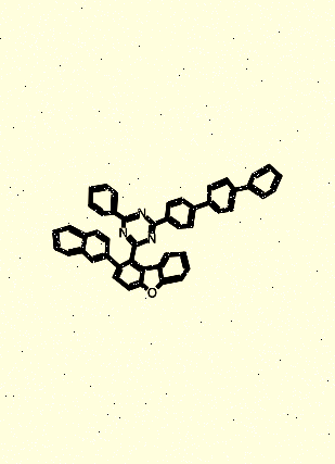 c1ccc(-c2ccc(-c3ccc(-c4nc(-c5ccccc5)nc(-c5c(-c6ccc7ccccc7c6)ccc6oc7ccccc7c56)n4)cc3)cc2)cc1